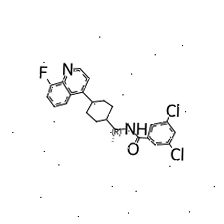 C[C@@H](NC(=O)c1cc(Cl)cc(Cl)c1)C1CCC(c2ccnc3c(F)cccc23)CC1